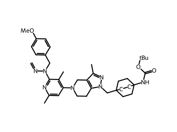 C=NN(Cc1ccc(OC)cc1)c1nc(C)cc(N2CCc3c(c(C)nn3CC34CCC(NC(=O)OC(C)(C)C)(CC3)CC4)C2)c1C